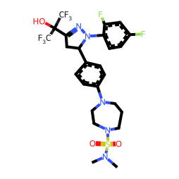 CN(C)S(=O)(=O)N1CCCN(c2ccc(C3CC(C(O)(C(F)(F)F)C(F)(F)F)=NN3c3ccc(F)cc3F)cc2)CC1